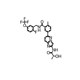 Cc1ccc(-c2ccc3nc(NC(=O)[C@H](C)O)cn3n2)cc1C(=O)NCc1cc(OC(F)(F)F)ccc1F